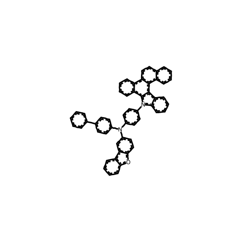 c1ccc(-c2ccc(N(c3ccc(-n4c5ccccc5c5c6c7ccccc7ccc6c6ccccc6c54)cc3)c3ccc4oc5ccccc5c4c3)cc2)cc1